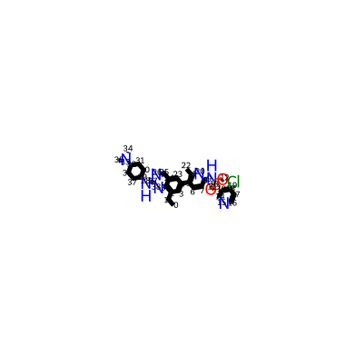 CCc1cc(-c2ccc(NS(=O)(=O)c3cnccc3Cl)nc2C)cc2cnc(NC3CCC(N(C)C)CC3)nc12